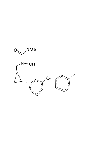 CNC(=O)N(O)C[C@@H]1C[C@H]1c1cccc(Oc2cccc(C)c2)c1